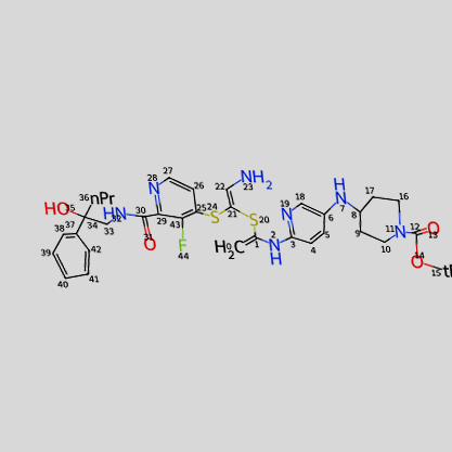 C=C(Nc1ccc(NC2CCN(C(=O)OC(C)(C)C)CC2)cn1)S/C(=C\N)Sc1ccnc(C(=O)NCC(O)(CCC)c2ccccc2)c1F